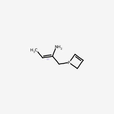 C/C=C(\N)CP1C=CC1